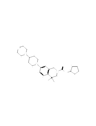 CC1(C)CN(C(=O)OC2CCCC2)Cc2cc(N3CCC(N4CCOCC4)CC3)ccc21